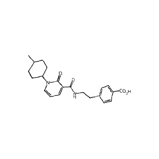 CC1CCC(n2cccc(C(=O)NCCc3ccc(C(=O)O)cc3)c2=O)CC1